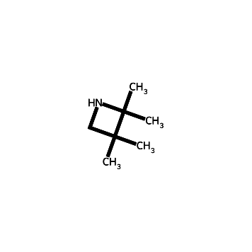 CC1(C)CNC1(C)C